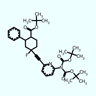 CC(C)(C)OC(=O)C1CCC(F)(C#Cc2cccc(N(C(=O)OC(C)(C)C)C(=O)OC(C)(C)C)n2)CC1c1ccccc1